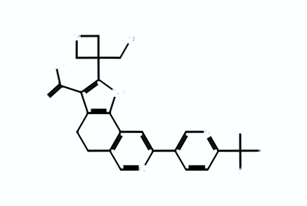 NCC1(c2[nH]c3c(c2C(=O)O)CCc2cnc(-c4ccc(C(F)(F)F)nc4)cc2-3)CNC1